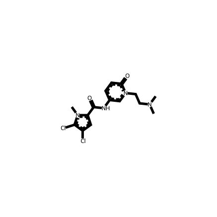 CN(C)CCn1cc(NC(=O)c2cc(Cl)c(Cl)n2C)ccc1=O